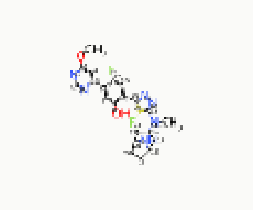 COc1cc(-c2cc(O)c(-c3nnc(N(C)C4CC5CCC(N5)C4F)s3)cc2F)ncn1